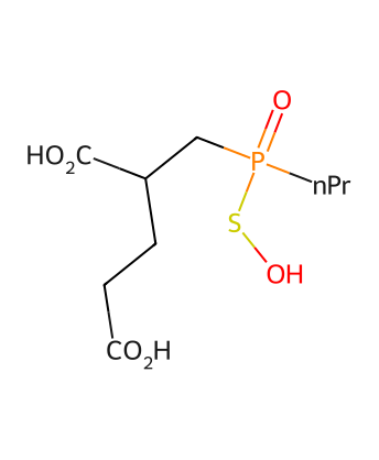 CCCP(=O)(CC(CCC(=O)O)C(=O)O)SO